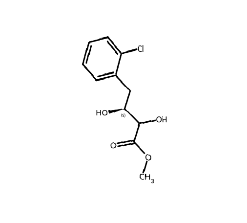 COC(=O)C(O)[C@@H](O)Cc1ccccc1Cl